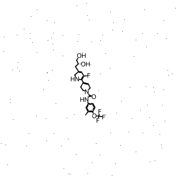 Cc1cc(NC(=O)N2CC=C(C3=C(F)C=C(C[C@@H](O)CO)CN3)CC2)ccc1OC(F)(F)F